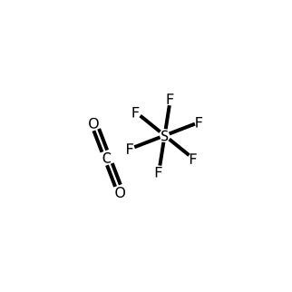 FS(F)(F)(F)(F)F.O=C=O